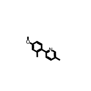 COc1ccc(-c2ccc(C)cn2)c(C)c1